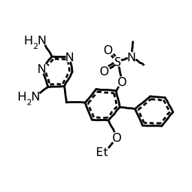 CCOc1cc(Cc2cnc(N)nc2N)cc(OS(=O)(=O)N(C)C)c1-c1ccccc1